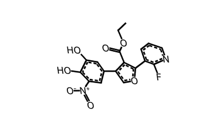 CCOC(=O)c1c(-c2cc(O)c(O)c([N+](=O)[O-])c2)coc1-c1cccnc1F